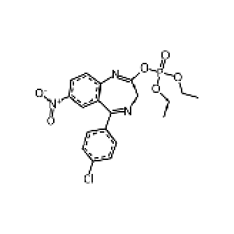 CCOP(=O)(OCC)OC1=Nc2ccc([N+](=O)[O-])cc2C(c2ccc(Cl)cc2)=NC1